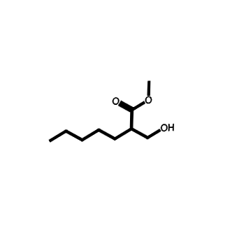 CCCCCC(CO)C(=O)OC